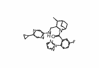 CC1C2CC(C2)N(C(=O)c2cc(F)ccc2-n2nccn2)C1CNc1cnc(C2CC2)cn1